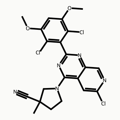 COc1cc(OC)c(Cl)c(-c2nc(N3CCC(C)(C#N)C3)c3cc(Cl)ncc3n2)c1Cl